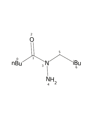 CCCCC(=O)N(N)CC(C)CC